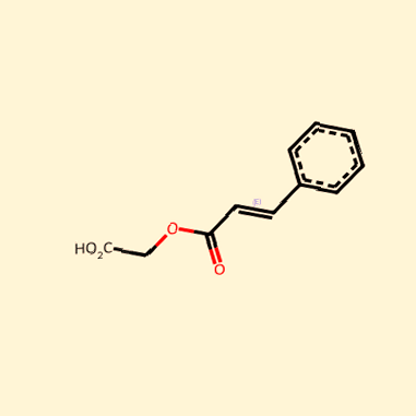 O=C(O)COC(=O)/C=C/c1ccccc1